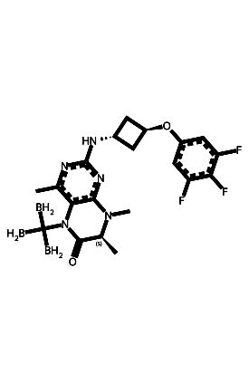 BC(B)(B)N1C(=O)[C@H](C)N(C)c2nc(N[C@H]3C[C@H](Oc4cc(F)c(F)c(F)c4)C3)nc(C)c21